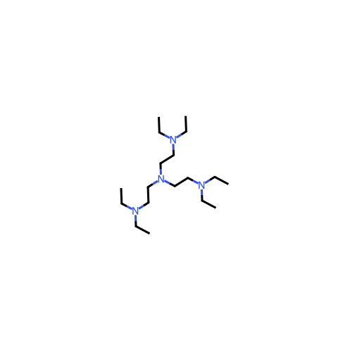 CCN(CC)CCN(CCN(CC)CC)CCN(CC)CC